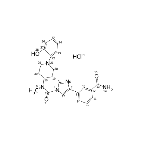 CN(C(=O)n1cnc(-c2cccc(C(N)=O)c2)c1)C1CCN(c2ccccc2O)CC1.Cl